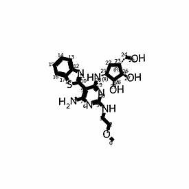 COCCNc1nc(N)c(-c2nc3ccccc3s2)c(N[C@@H]2C[C@H](CO)[C@@H](O)[C@H]2O)n1